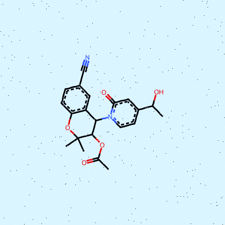 CC(=O)OC1C(n2ccc(C(C)O)cc2=O)c2cc(C#N)ccc2OC1(C)C